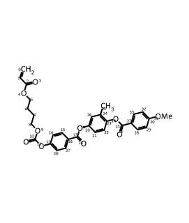 C=CC(=O)OCCCCOC(=O)Oc1ccc(C(=O)Oc2ccc(OC(=O)c3ccc(OC)cc3)c(C)c2)cc1